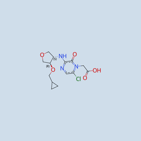 O=C(O)Cn1c(Cl)cnc(N[C@H]2COC[C@@H]2OCC2CC2)c1=O